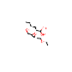 CCCCCC(O)O.CCOCC.OCC1CO1